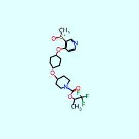 CC(OC(=O)N1CCC(O[C@H]2CC[C@H](Oc3ccncc3[S+](C)[O-])CC2)CC1)C(F)(F)F